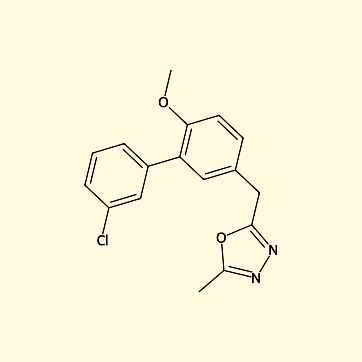 COc1ccc(Cc2nnc(C)o2)cc1-c1cccc(Cl)c1